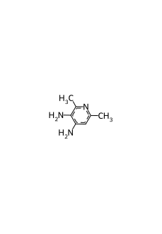 Cc1cc(N)c(N)c(C)n1